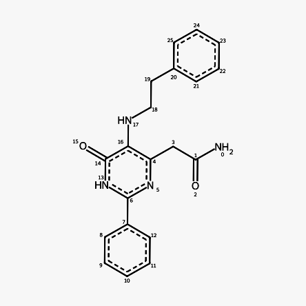 NC(=O)Cc1nc(-c2ccccc2)[nH]c(=O)c1NCCc1ccccc1